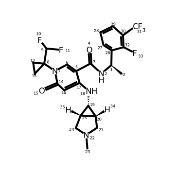 C[C@@H](NC(=O)c1cn(C2(C(F)F)CC2)c(=O)cc1N[C@@H]1[C@@H]2CN(C)C[C@@H]21)c1cccc(C(F)(F)F)c1F